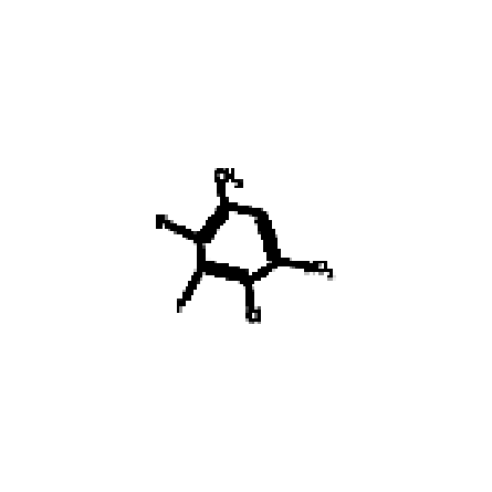 Cc1cc([N+](=O)[O-])c(Cl)c(F)c1F